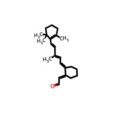 CC1=C(/C=C/C(C)=C/C=C2\CCCC\C2=C/C=O)C(C)(C)CCC1